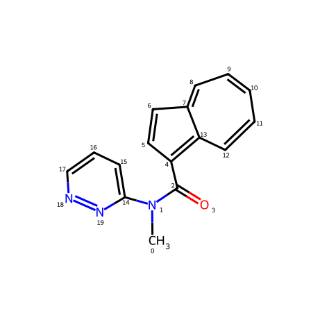 CN(C(=O)c1ccc2cccccc1-2)c1cccnn1